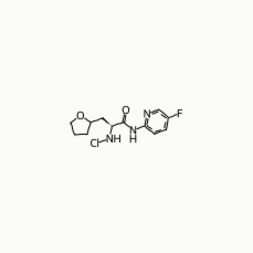 O=C(Nc1ccc(F)cn1)[C@H](CC1CCCO1)NCl